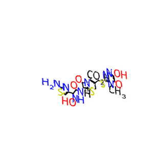 Cn1c(SCC2=C(C(=O)O)N3C(=O)C(NC(=O)C(=NO)c4csc(N)n4)[C@@H]3SC2)nnc(O)c1=O